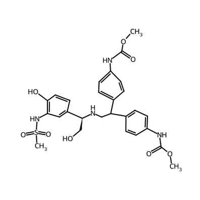 COC(=O)Nc1ccc(C(CN[C@@H](CO)c2ccc(O)c(NS(C)(=O)=O)c2)c2ccc(NC(=O)OC)cc2)cc1